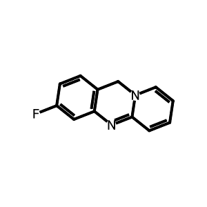 Fc1ccc2c(c1)N=C1C=CC=CN1C2